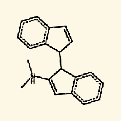 C[SiH](C)C1=Cc2ccccc2C1C1C=Cc2ccccc21